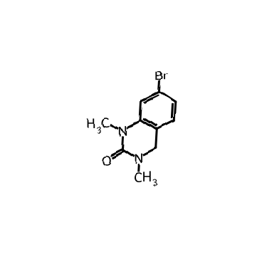 CN1Cc2ccc(Br)cc2N(C)C1=O